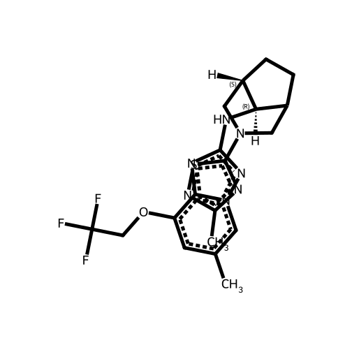 Cc1cc(OCC(F)(F)F)c2nc(N[C@@H]3C4CC[C@H]3CN(c3nc(C)ns3)C4)nn2c1